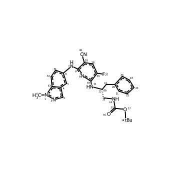 Cn1ncc2cc(Nc3nc(N[C@@H](CNC(=O)OC(C)(C)C)Cc4ccccc4)c(F)cc3C#N)ccc21